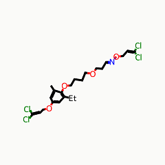 CCc1cc(OCC=C(Cl)Cl)cc(C)c1OCCCCOCCC=NOCC=C(Cl)Cl